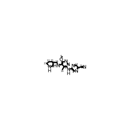 COc1nnc(Nc2cnc(C#N)cn2)c(C)c1NCC1CCCNC1